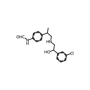 CC(CNCC(O)c1cccc(Cl)c1)c1ccc(NC=O)cc1